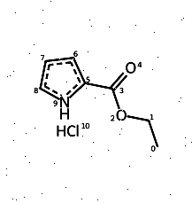 CCOC(=O)c1ccc[nH]1.Cl